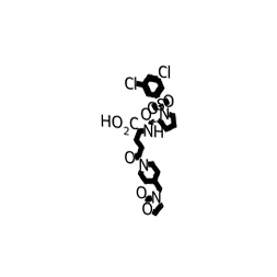 O=C(O)[C@H](CCC(=O)N1CCC(CN2CCOC2=O)CC1)NC(=O)[C@H]1CCCN1S(=O)(=O)c1cc(Cl)cc(Cl)c1